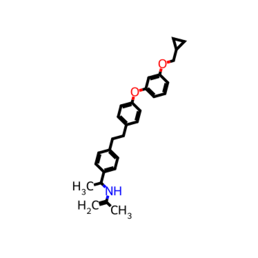 C=C(C)NC(C)c1ccc(CCc2ccc(Oc3cccc(OCC4CC4)c3)cc2)cc1